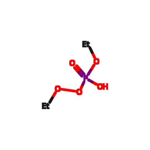 CCOOP(=O)(O)OCC